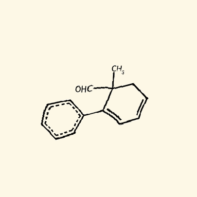 CC1(C=O)CC=CC=C1c1ccccc1